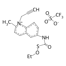 C#CC[n+]1c(C)ccc2cc(NC(=O)SOCC)ccc21.O=S(=O)([O-])C(F)(F)F